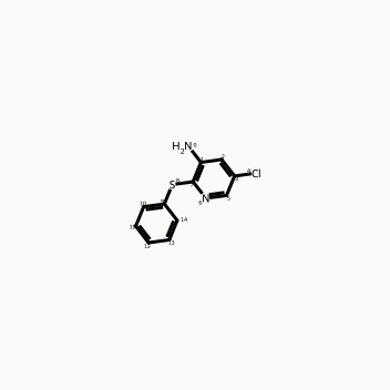 Nc1cc(Cl)cnc1Sc1ccccc1